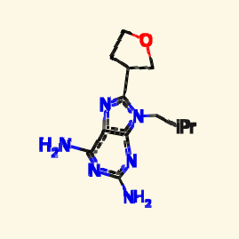 CC(C)Cn1c(C2CCOC2)nc2c(N)nc(N)nc21